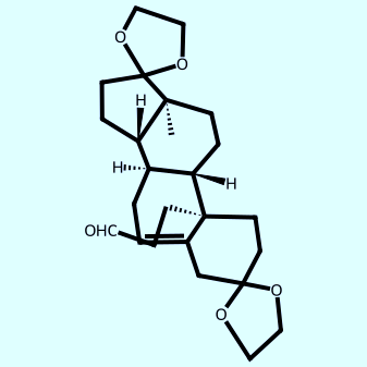 C[C@]12CC[C@H]3[C@@H](CC=C4CC5(CC[C@@]43CCC=O)OCCO5)[C@@H]1CCC21OCCO1